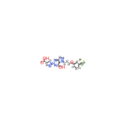 O=C(O)c1cnn(-c2nc(O)c3c(cnn3CCCOc3cccc(C(F)(F)F)c3)n2)c1